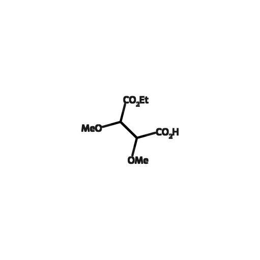 CCOC(=O)C(OC)C(OC)C(=O)O